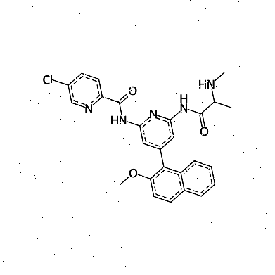 CNC(C)C(=O)Nc1cc(-c2c(OC)ccc3ccccc23)cc(NC(=O)c2ccc(Cl)cn2)n1